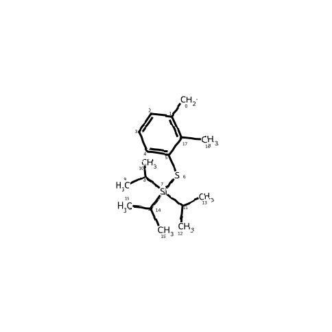 [CH2]c1cccc(S[Si](C(C)C)(C(C)C)C(C)C)c1C